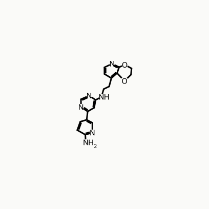 Nc1ccc(-c2cc(NCCc3ccnc4c3OCCO4)ncn2)cn1